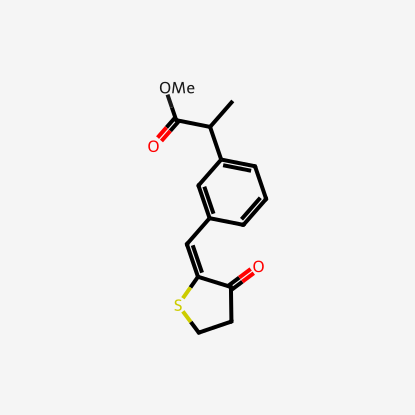 COC(=O)C(C)c1cccc(/C=C2/SCCC2=O)c1